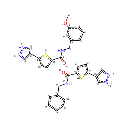 COc1cccc(CNC(=O)c2ccc(-c3cn[nH]c3)s2)c1.O=C(NCc1ccccc1)c1ccc(-c2cn[nH]c2)s1